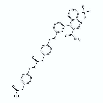 NC(=O)c1cnc2c(C(F)(F)F)cccc2c1-c1cccc(OCc2ccc(CC(=O)OCc3ccc(CC(=O)O)cc3)cc2)c1